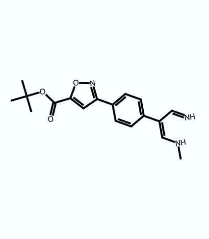 CN/C=C(\C=N)c1ccc(-c2cc(C(=O)OC(C)(C)C)on2)cc1